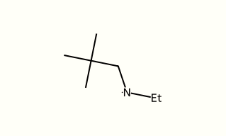 CC[N]CC(C)(C)C